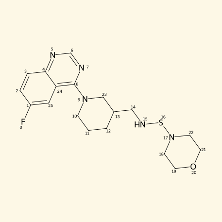 Fc1ccc2ncnc(N3CCCC(CNSN4CCOCC4)C3)c2c1